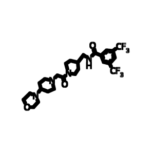 O=C(NCC1CCN(C(=O)CN2CCC(N3CCOCC3)CC2)CC1)c1cc(C(F)(F)F)cc(C(F)(F)F)c1